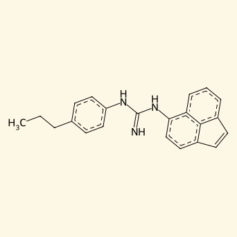 CCCc1ccc(NC(=N)Nc2ccc3c4c(cccc24)C=C3)cc1